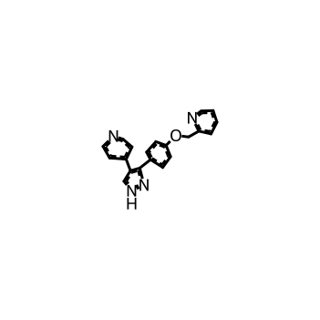 c1ccc(COc2ccc(-c3n[nH]cc3-c3ccncc3)cc2)nc1